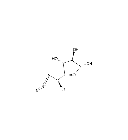 CC[C@@H](N=[N+]=[N-])[C@@H]1O[C@@H](O)[C@H](O)[C@H]1O